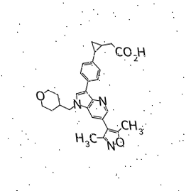 Cc1noc(C)c1-c1cnc2c(-c3ccc(C4CC4CC(=O)O)cc3)cn(CC3CCOCC3)c2c1